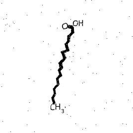 CCCCCCCCC=CCCCCCCCC(=O)O.[CH3]